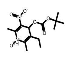 CCC1=C(C)[NH+]([O-])C(C)=C([N+](=O)[O-])C1OC(=O)OC(C)(C)C